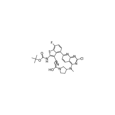 CN(c1nc(Cl)nc2nc(-c3ccc(F)c4sc(NC(=O)OC(C)(C)C)c(C#N)c34)ccc12)C1CCN(C(=O)O)C1